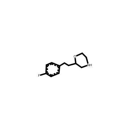 Fc1c[c]c(CCC2CNCCO2)cc1